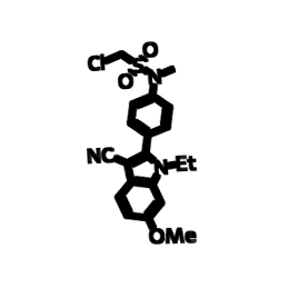 CCn1c(-c2ccc(N(C)S(=O)(=O)CCl)cc2)c(C#N)c2ccc(OC)cc21